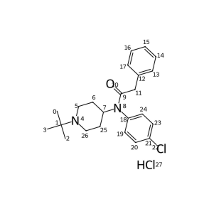 CC(C)(C)N1CCC(N(C(=O)Cc2ccccc2)c2ccc(Cl)cc2)CC1.Cl